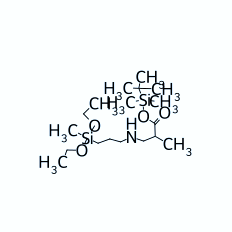 CCO[Si](C)(CCCNCC(C)C(=O)O[Si](C)(C)C(C)(C)C)OCC